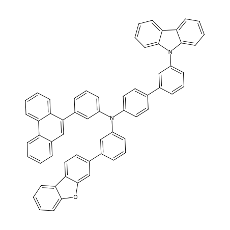 c1cc(-c2ccc3c(c2)oc2ccccc23)cc(N(c2ccc(-c3cccc(-n4c5ccccc5c5ccccc54)c3)cc2)c2cccc(-c3cc4ccccc4c4ccccc34)c2)c1